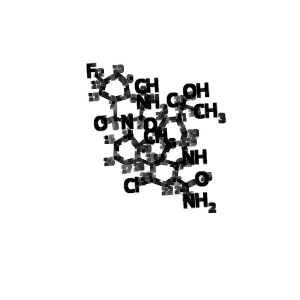 C#[N+]C(=O)N(C(=O)c1cccc(F)c1)c1cccc(-c2c(Cl)cc(C(N)=O)c3[nH]c4cc(C(C)(C)O)ccc4c23)c1C